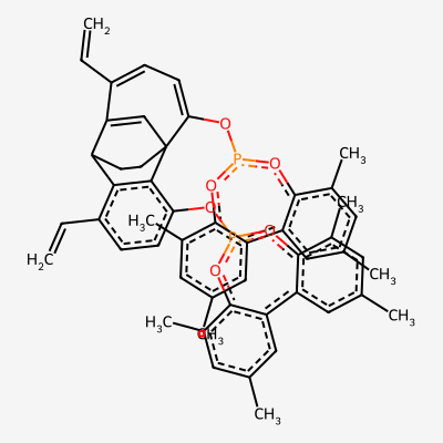 C=CC1=CC=C(Op2oc3c(C)cc(C)cc3c3cc(C)cc(C)c3o2)C23C=C1C(CC2)c1c(C=C)ccc(Op2oc4c(C)cc(C)cc4c4cc(C)cc(C)c4o2)c13